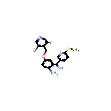 CSc1ccc(C(=N)c2cc(OCc3c(Cl)cncc3Cl)ccc2N)cn1